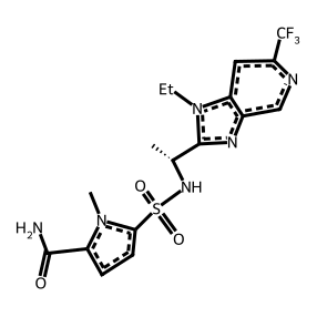 CCn1c([C@@H](C)NS(=O)(=O)c2ccc(C(N)=O)n2C)nc2cnc(C(F)(F)F)cc21